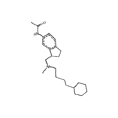 CC(=O)Nc1ccc2c(c1)C(CN(C)CCCCC1CCCCC1)CC2